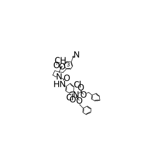 COC(=O)C1(Cc2ccc(C#N)cc2)CCCN1C(=O)Nc1cc(Cl)c(N(C(=O)OCc2ccccc2)C(=O)OCc2ccccc2)c(Cl)c1